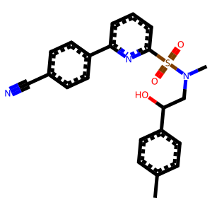 Cc1ccc(C(O)CN(C)S(=O)(=O)c2cccc(-c3ccc(C#N)cc3)n2)cc1